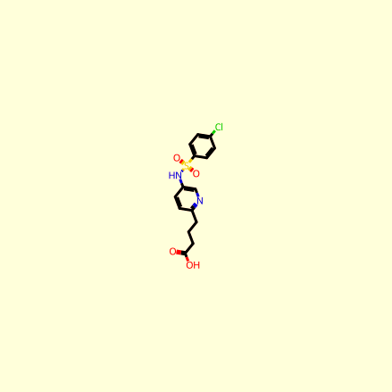 O=C(O)CCCc1ccc(NS(=O)(=O)c2ccc(Cl)cc2)cn1